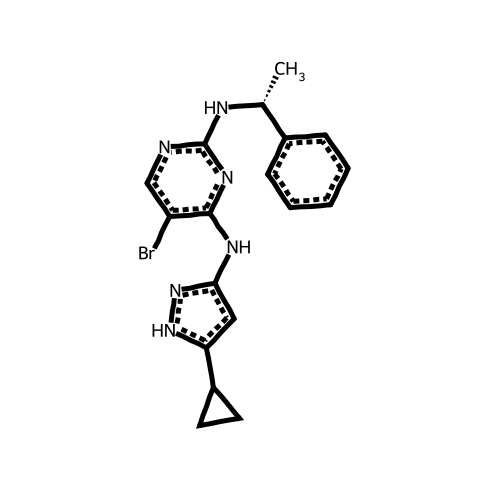 C[C@@H](Nc1ncc(Br)c(Nc2cc(C3CC3)[nH]n2)n1)c1ccccc1